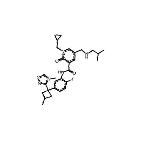 CC(C)CNCc1cc(C(=O)Nc2cc(C3(c4nncn4C)CC(C)C3)ccc2F)c(=O)n(CC2CC2)c1